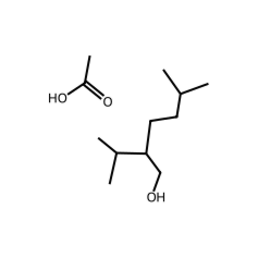 CC(=O)O.CC(C)CCC(CO)C(C)C